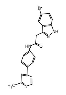 Cc1cc(-c2ccc(NC(=O)Cc3n[nH]c4ccc(Br)cc34)cc2)ccn1